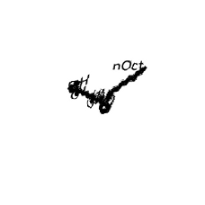 CCCCCCCC/C=C\CCCCCCCC(=O)N[C@H](COC(=O)CCCCNC(=O)C1OC(C)(C)OCC1(C)C)c1ccccc1